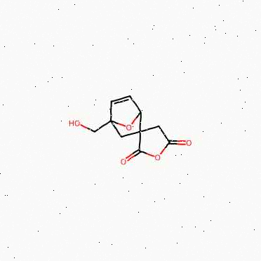 O=C1CC2(CC3(CO)C=CC2O3)C(=O)O1